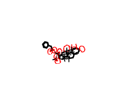 CC(=O)O[C@@]1(C(=O)COC(=O)Cc2ccccc2)CC[C@H]2[C@@H]3CCC4=CC(=O)C=C[C@]4(C)[C@H]3[C@@H](O)C[C@@]21C